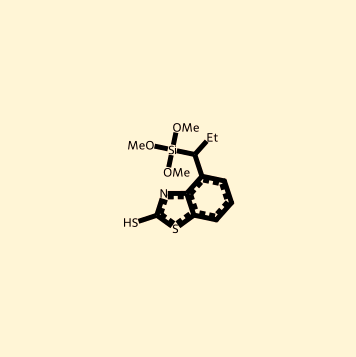 CCC(c1cccc2sc(S)nc12)[Si](OC)(OC)OC